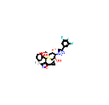 Cc1noc(C2CC2)c1C([SH]1C[C@H](O)[C@H](n2cc(-c3cc(F)c(F)c(F)c3)nn2)[C@@H](O)[C@H]1CO)C1(O)CCCCC1